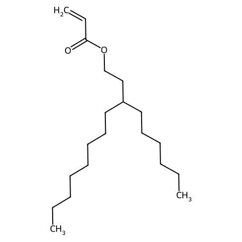 C=CC(=O)OCCC(CCCCCC)CCCCCCCC